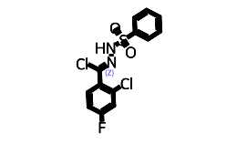 O=S(=O)(N/N=C(\Cl)c1ccc(F)cc1Cl)c1ccccc1